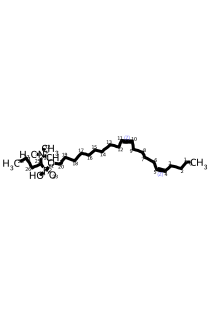 CCCC/C=C\CCCC/C=C\CCCCCCCCCOP(=O)(O)C(CCC)[N+](C)(C)C